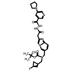 CC(C)(C)OC(=O)N(Cc1ccc2nc(CC(=O)NNC(=O)c3cncc(N4CCCC4)c3)cn2c1)CC12CC(F)(C1)C2